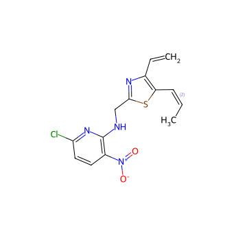 C=Cc1nc(CNc2nc(Cl)ccc2[N+](=O)[O-])sc1/C=C\C